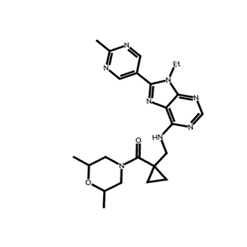 CCn1c(-c2cnc(C)nc2)nc2c(NCC3(C(=O)N4CC(C)OC(C)C4)CC3)ncnc21